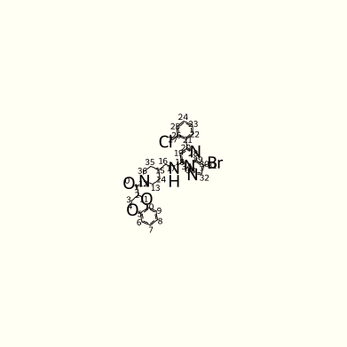 O=C(C1COc2ccccc2O1)N1CCC(CNc2cc(-c3ccccc3Cl)nc3c(Br)cnn23)CC1